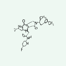 COC[C@H](C)N1Cc2c(n(CC(=O)Nc3ccc(F)cn3)c3cc(C4CC4)nn3c2=O)C1=O